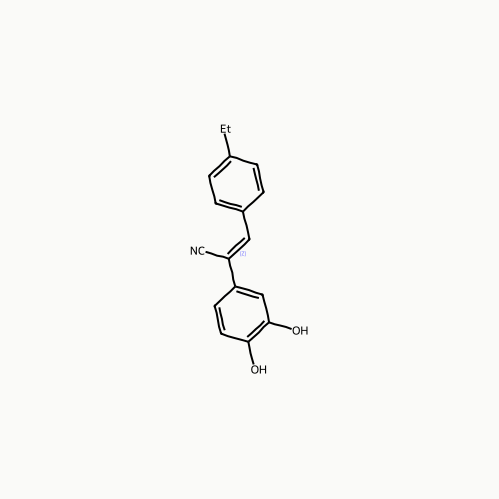 CCc1ccc(/C=C(\C#N)c2ccc(O)c(O)c2)cc1